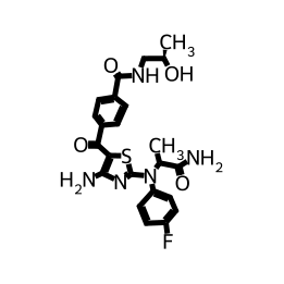 CC(C(N)=O)N(c1ccc(F)cc1)c1nc(N)c(C(=O)c2ccc(C(=O)NC[C@@H](C)O)cc2)s1